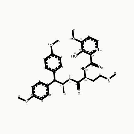 COc1ccc(C(c2ccc(OC)cc2)[C@H](C)NC(=O)[C@H](CCSC)NC(=O)c2nccc(OC)c2O)cc1